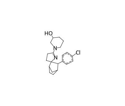 OC1CCCN(C2=NC3(CC2)C2CCC(C2)C3c2ccc(Cl)cc2)C1